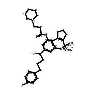 CC(CCCc1ccc(F)cc1)c1cc(OC(=O)CCN2CCCCC2)c2c(c1)OC(C)(C)C1=C2CCC1.Cl